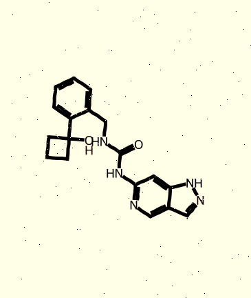 O=C(NCc1ccccc1C1(O)CCC1)Nc1cc2[nH]n[c]c2cn1